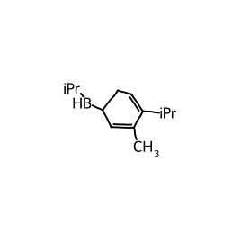 CC1=CC(BC(C)C)CC=C1C(C)C